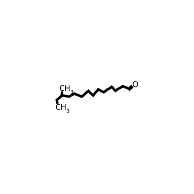 CCC(C)CCCCCCCCCC[C]=O